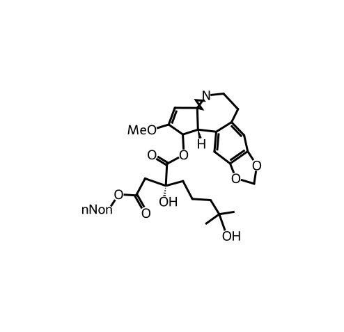 CCCCCCCCCOC(=O)C[C@](O)(CCCC(C)(C)O)C(=O)OC1C(OC)=CC23CCCN2CCc2cc4c(cc2[C@H]13)OCO4